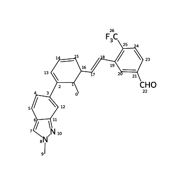 CC1C(c2ccc3cn(C)nc3c2)=CC=CC1/C=C/c1cc(C=O)ccc1C(F)(F)F